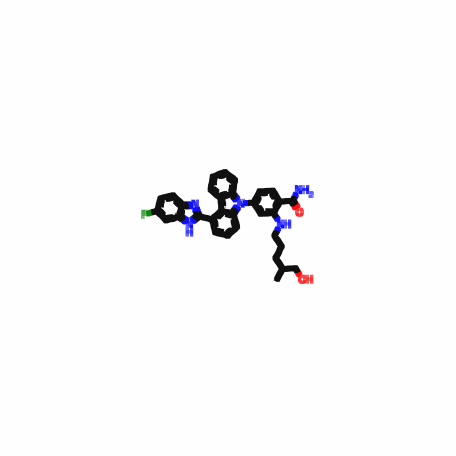 CC(CO)CCCNc1cc(-n2c3ccccc3c3c(-c4nc5ccc(F)cc5[nH]4)cccc32)ccc1C(N)=O